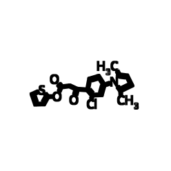 Cc1ccc(C)n1-c1ccc(C(=O)CC(=O)Oc2cccs2)c(Cl)c1